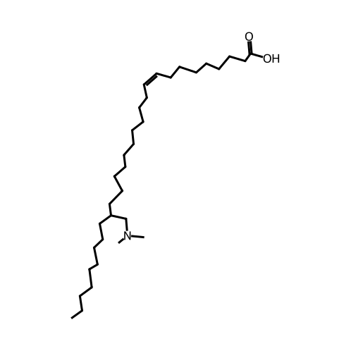 CCCCCCCCCC(CCCCCCCCCC/C=C\CCCCCCCC(=O)O)CN(C)C